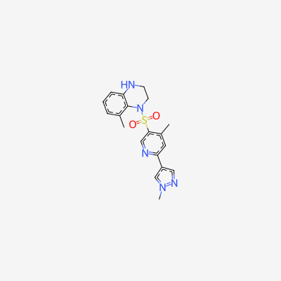 Cc1cc(-c2cnn(C)c2)ncc1S(=O)(=O)N1CCNc2cccc(C)c21